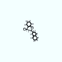 O=C1CC(c2ccc3ccccc3c2)Oc2ccccc21